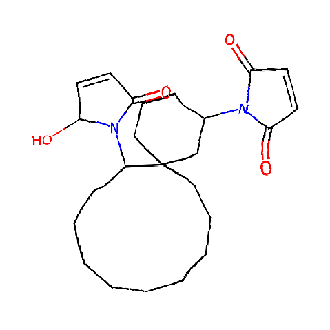 O=C1C=CC(=O)N1C1CCCC2(CCCCCCCCCC2N2C(=O)C=CC2O)C1